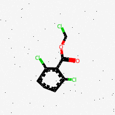 O=C(OCCl)c1c(Cl)cccc1Cl